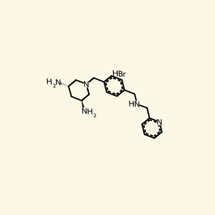 Br.N[C@H]1C[C@H](N)CN(Cc2ccc(CNCc3ccccn3)cc2)C1